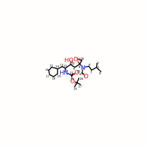 CC(C)CCN(C=O)C1(CC(O)C(CC2CCCCC2)NC(=O)OC(C)(C)C)CO1